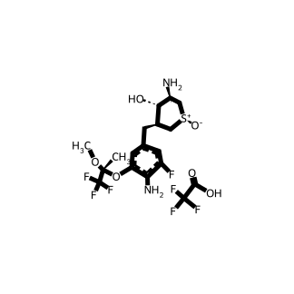 CO[C@](C)(Oc1cc(C[C@@H]2C[S@@+]([O-])C[C@H](N)[C@H]2O)cc(F)c1N)C(F)(F)F.O=C(O)C(F)(F)F